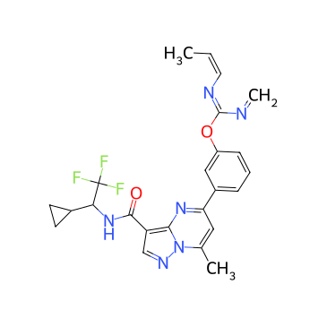 C=N/C(=N\C=C/C)Oc1cccc(-c2cc(C)n3ncc(C(=O)NC(C4CC4)C(F)(F)F)c3n2)c1